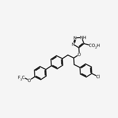 O=C(O)c1[nH]nnc1OC(Cc1ccc(Cl)cc1)Cc1ccc(-c2ccc(OC(F)(F)F)cc2)cc1